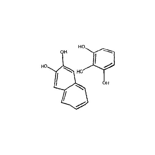 Oc1cc2ccccc2cc1O.Oc1cccc(O)c1O